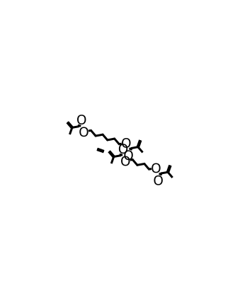 C=C.C=C(C)C(=O)OCCCCCCOC(=O)C(=C)C.C=C(C)C(=O)OCCCCOC(=O)C(=C)C